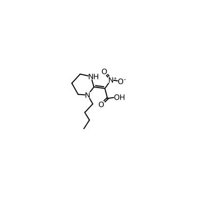 CCCCN1CCCNC1=C(C(=O)O)[N+](=O)[O-]